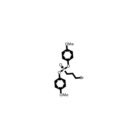 COc1ccc(OP(=O)(CCCBr)Oc2ccc(OC)cc2)cc1